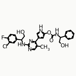 Cc1cnc(NC(CO)c2ccc(F)c(Cl)c2)nc1-c1c[nH]c(OC(=O)NC(CO)c2ccccc2)c1